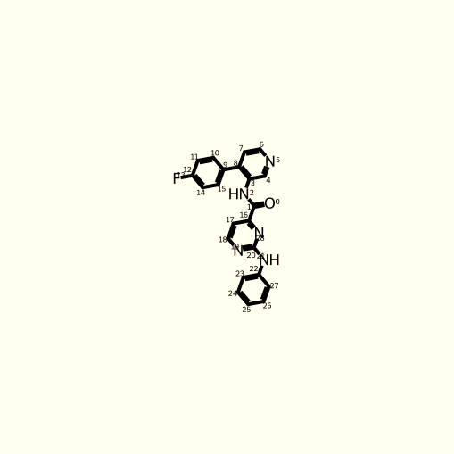 O=C(Nc1cnccc1-c1ccc(F)cc1)c1ccnc(Nc2ccccc2)n1